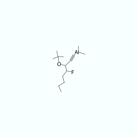 CCCCC(F)C(C#[C][Al]([CH3])[CH3])OC(C)(C)C